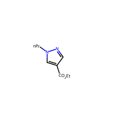 CCCn1cc(C(=O)OCC)cn1